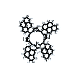 C1=Cc2nc1c(-c1ccc3ccc4cccc5ccc1c3c45)c1ccc([nH]1)c(-c1ccc3ccc4cccc5ccc1c3c45)c1nc(c(-c3ccc4ccc5cccc6ccc3c4c56)c3ccc([nH]3)c2-c2ccc3ccc4cccc5ccc2c3c45)C=C1